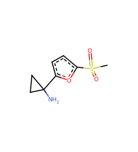 CS(=O)(=O)c1ccc(C2(N)CC2)o1